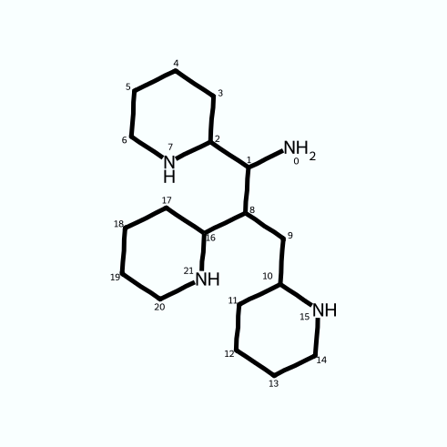 NC(C1CCCCN1)C(CC1CCCCN1)C1CCCCN1